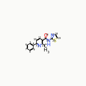 Cc1nc(-c2ccccc2)ccc1C(=O)Nc1nccs1